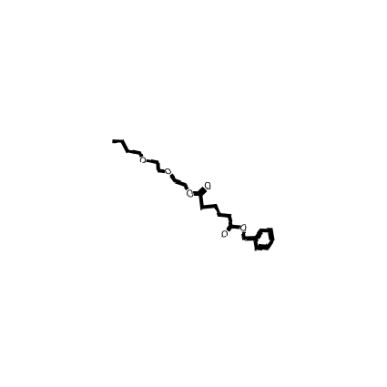 CCCCOCCOCCOC(=O)CCCCC(=O)OCc1ccccc1